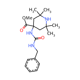 COC(=O)C1(NC(=O)NCc2ccccc2)CC(C)(C)NC(C)(C)C1